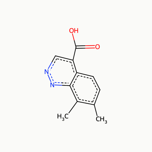 Cc1ccc2c(C(=O)O)cnnc2c1C